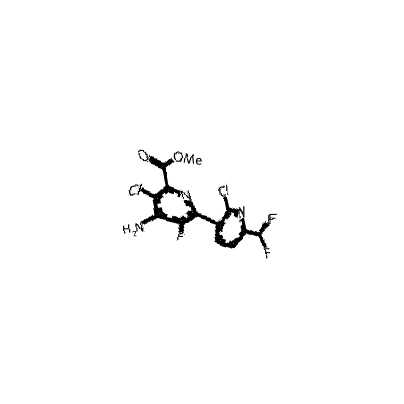 COC(=O)c1nc(-c2ccc(C(F)F)nc2Cl)c(F)c(N)c1Cl